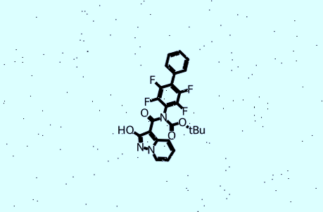 CC(C)(C)OC(=O)N(C(=O)c1c(O)nn2ccccc12)c1c(F)c(F)c(-c2ccccc2)c(F)c1F